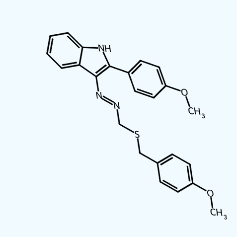 COc1ccc(CSC/N=N/c2c(-c3ccc(OC)cc3)[nH]c3ccccc23)cc1